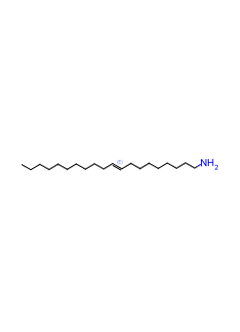 CCCCCCCCCC/C=C/CCCCCCCCN